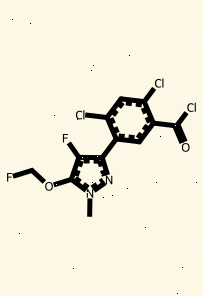 Cn1nc(-c2cc(C(=O)Cl)c(Cl)cc2Cl)c(F)c1OCF